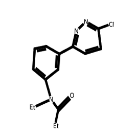 CCC(=O)N(CC)c1cccc(-c2ccc(Cl)nn2)c1